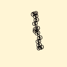 C=C(C)C(=O)OCC(COC)OC(=O)CCC(=O)OCCOC(=O)C1CCC(C(=O)Oc2ccc(OC(=O)C3CCC(C(=O)OCCOC(=O)CCC(=O)OC(COC)COC(=O)C(=C)C)CC3)c(C(=O)OC)c2)CC1